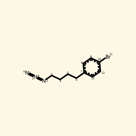 [N-]=[N+]=NCCCCc1ccc(Br)cc1